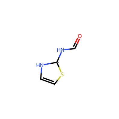 O=CN[C]1NC=CS1